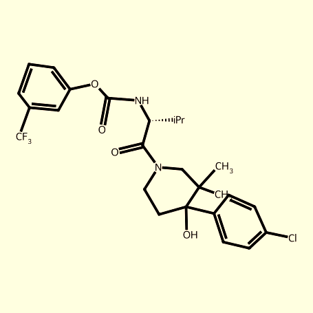 CC(C)[C@@H](NC(=O)Oc1cccc(C(F)(F)F)c1)C(=O)N1CCC(O)(c2ccc(Cl)cc2)C(C)(C)C1